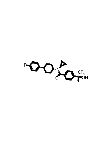 C[C@](O)(c1ccc(C(=O)N(C2CC2)[C@H]2CC[C@H](c3ccc(F)cc3)CC2)cc1)C(F)(F)F